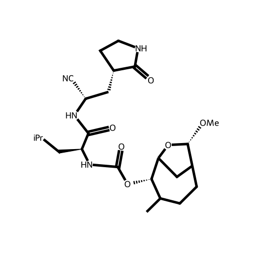 CO[C@H]1OC2CC1CCC(C)[C@@H]2OC(=O)N[C@@H](CC(C)C)C(=O)N[C@H](C#N)C[C@@H]1CCNC1=O